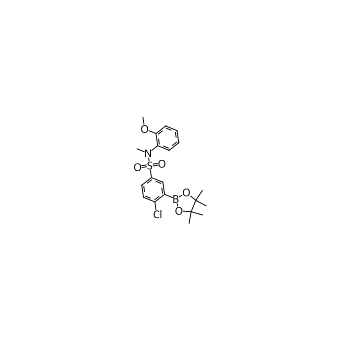 COc1ccccc1N(C)S(=O)(=O)c1ccc(Cl)c(B2OC(C)(C)C(C)(C)O2)c1